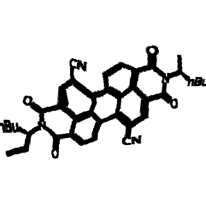 C=C[C@@H](CCCC)N1C(=O)c2ccc3c4c(C#N)cc5c6c(ccc(c7c(C#N)cc(c2c37)C1=O)c64)C(=O)N([C@@H](C)CCCC)C5=O